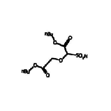 CCCCOC(=O)COC(C(=O)OCCCC)S(=O)(=O)O